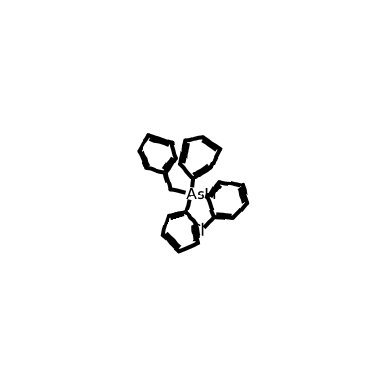 Clc1ccccc1[AsH](Cc1ccccc1)(c1ccccc1)c1ccccc1